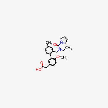 CCN(Cc1cc(C)ccc1-c1cc(CC(=O)O)ccc1OC)C(=O)N1CCCC1